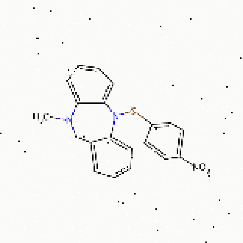 CN1Cc2ccccc2N(Sc2ccc([N+](=O)[O-])cc2)c2ccccc21